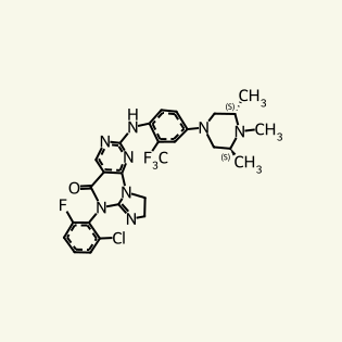 C[C@H]1CN(c2ccc(Nc3ncc4c(n3)N3CCN=C3N(c3c(F)cccc3Cl)C4=O)c(C(F)(F)F)c2)C[C@H](C)N1C